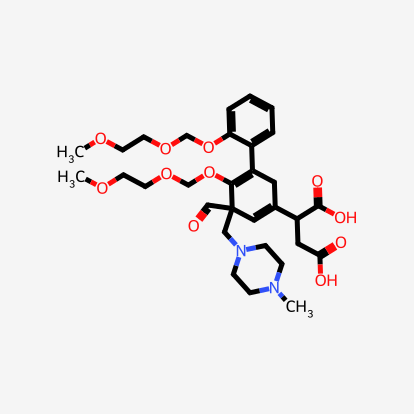 COCCOCOC1=C(c2ccccc2OCOCCOC)CC(C(CC(=O)O)C(=O)O)=CC1(C=O)CN1CCN(C)CC1